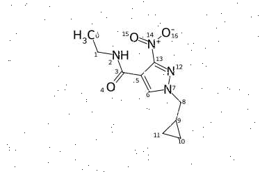 CCNC(=O)c1cn(CC2CC2)nc1[N+](=O)[O-]